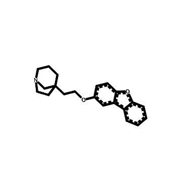 c1ccc2c(c1)oc1ccc(OCCC34CCCN(CC3)C4)cc12